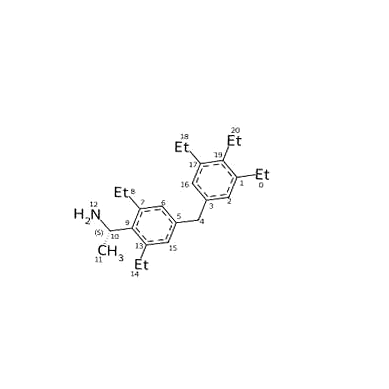 CCc1cc(Cc2cc(CC)c([C@H](C)N)c(CC)c2)cc(CC)c1CC